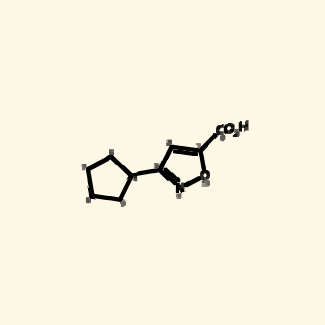 O=C(O)c1cc(C2CCCC2)no1